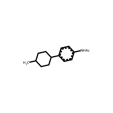 CC(=O)Nc1ccc(C2CCC(C)CC2)cc1